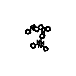 c1ccc(-c2nc(-c3ccccc3)nc(-c3ccc(-n4c5ccccc5c5ccc6c7ccn(-c8ccccc8)c7ccc6c54)cc3)n2)cc1